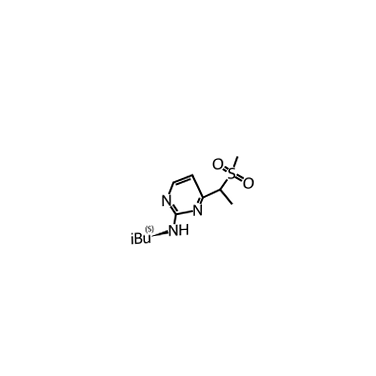 CC[C@H](C)Nc1nccc(C(C)S(C)(=O)=O)n1